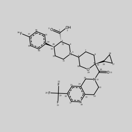 O=C(O)[C@@H]1CN(C2CC[C@@](C(=O)N3CCc4ncc(C(F)(F)F)cc4C3)(C3CC3)OC2)CC[C@H]1c1ccc(F)cc1